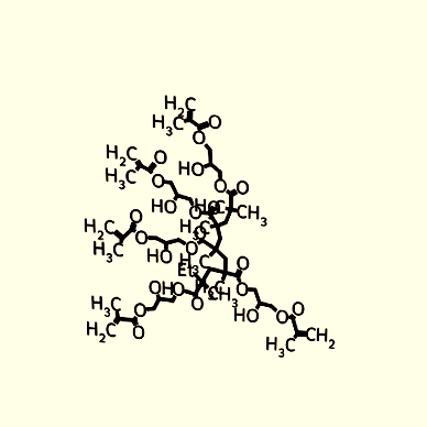 C=C(C)C(=O)OCC(O)COC(=O)C(C)(C)CC(C)(CC(C)(CC(C)(CC(C)(CC)C(=O)OCC(O)COC(=O)C(=C)C)C(=O)OCC(O)COC(=O)C(=C)C)C(=O)OCC(O)COC(=O)C(=C)C)C(=O)OCC(O)COC(=O)C(=C)C